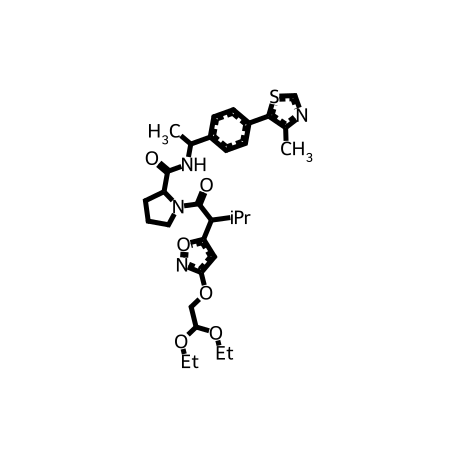 CCOC(COc1cc(C(C(=O)N2CCCC2C(=O)NC(C)c2ccc(-c3scnc3C)cc2)C(C)C)on1)OCC